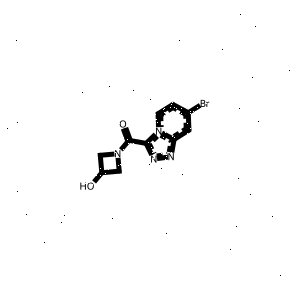 O=C(c1nnc2cc(Br)ccn12)N1CC(O)C1